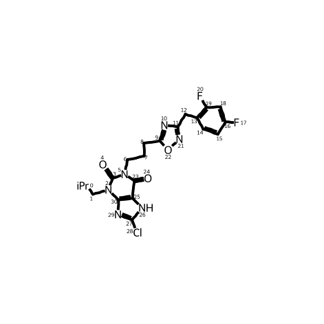 CC(C)Cn1c(=O)n(CCCc2nc(Cc3ccc(F)cc3F)no2)c(=O)c2[nH]c(Cl)nc21